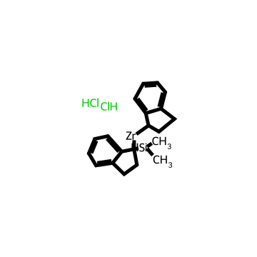 C[SiH](C)[C]1([Zr][CH]2CCc3ccccc32)CCc2ccccc21.Cl.Cl